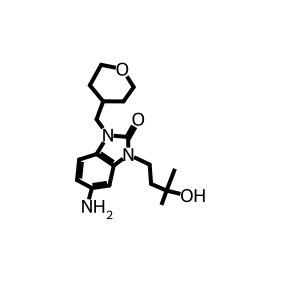 CC(C)(O)CCn1c(=O)n(CC2CCOCC2)c2ccc(N)cc21